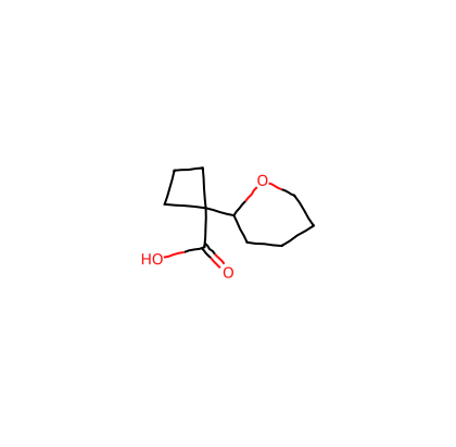 O=C(O)C1(C2CCCCO2)CCC1